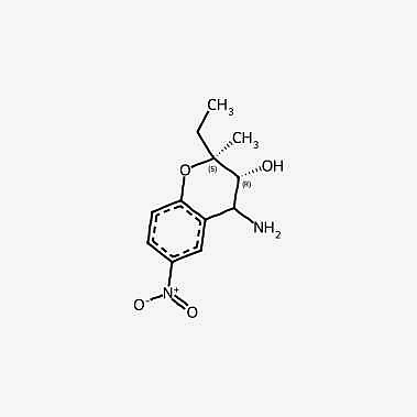 CC[C@]1(C)Oc2ccc([N+](=O)[O-])cc2C(N)[C@H]1O